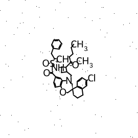 CCCCC(OC)C1CCC1CN1C[C@@]2(CCCc3cc(Cl)ccc32)COc2ccc(C(=O)N[S+]([O-])C(C)Cc3ccccc3)cc21